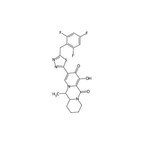 CC1C2CCCCN2C(=O)c2c(O)c(=O)c(-c3nnc(Cc4c(F)cc(F)cc4F)s3)cn21